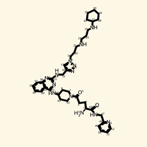 N[C@@H](CCC(=O)N1CCC(Nc2nc(NCc3cn(CCCNCCCNC4CCCCC4)nn3)nc3ccccc23)CC1)C(=O)NCc1ccccn1